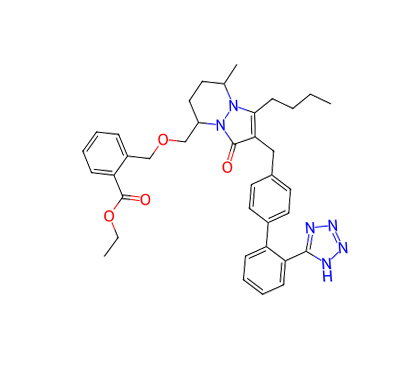 CCCCc1c(Cc2ccc(-c3ccccc3-c3nnn[nH]3)cc2)c(=O)n2n1C(C)CCC2COCc1ccccc1C(=O)OCC